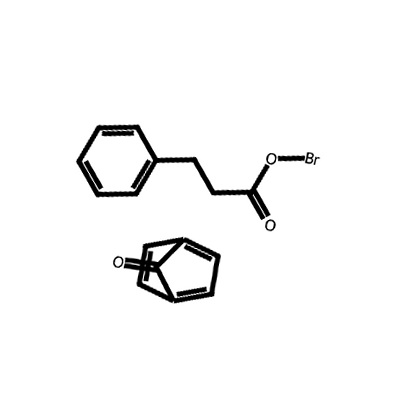 O=C(CCc1ccccc1)OBr.O=C1C2=CC=C1C=C2